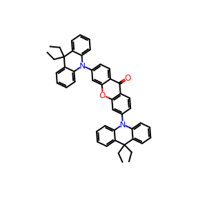 CCC1(CC)c2ccccc2N(c2ccc3c(=O)c4ccc(N5c6ccccc6C(CC)(CC)c6ccccc65)cc4oc3c2)c2ccccc21